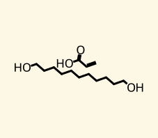 C=CC(=O)O.OCCCCCCCCCCCO